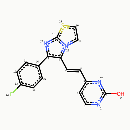 Oc1nccc(/C=C/c2c(-c3ccc(F)cc3)nc3sccn23)n1